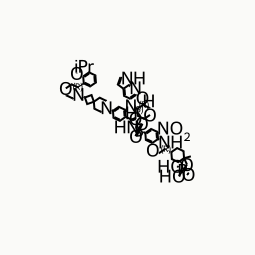 CC(C)Oc1ccccc1[C@@H]1COCCN1C1CC2(CCN(c3ccc(C(=O)NS(=O)(=O)c4cc5c(c([N+](=O)[O-])c4)N[C@H](C4CCC(C)(OP(=O)(O)O)CC4)CO5)c(N4c5cc6cc[nH]c6nc5O[C@H]5COCC[C@@H]54)c3)CC2)C1